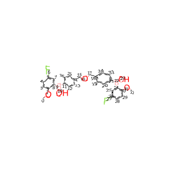 COc1ccc(F)cc1B(O)c1ccc(COCc2ccc(B(O)c3cc(F)ccc3OC)cc2)cc1